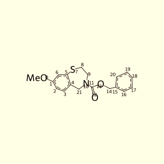 COc1ccc2c(c1)SCCN(C(=O)OCc1ccccc1)C2